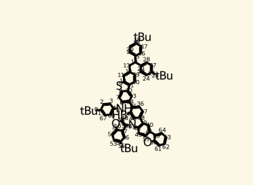 CC(C)(C)c1ccc(Nc2cc3sc4cc(CC(c5ccc(C(C)(C)C)cc5)c5ccc(C(C)(C)C)cc5)ccc4c3cc2-c2ccc3c4cc5c(cc4n4c3c2Bc2oc3ccc(C(C)(C)C)cc3c2-4)oc2ccccc25)cc1